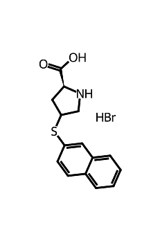 Br.O=C(O)[C@@H]1CC(Sc2ccc3ccccc3c2)CN1